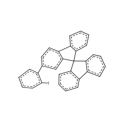 Ic1ccccc1-c1ccc2c(c1)C1(c3ccccc3-c3ccccc31)c1ccccc1-2